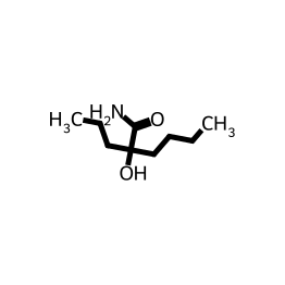 CCCCC(O)(CCC)C(N)=O